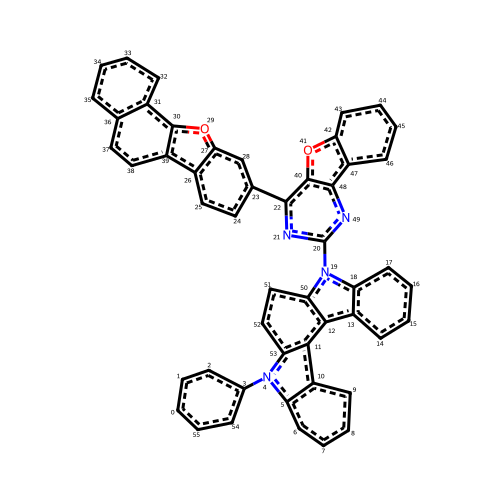 c1ccc(-n2c3ccccc3c3c4c5ccccc5n(-c5nc(-c6ccc7c(c6)oc6c8ccccc8ccc76)c6oc7ccccc7c6n5)c4ccc32)cc1